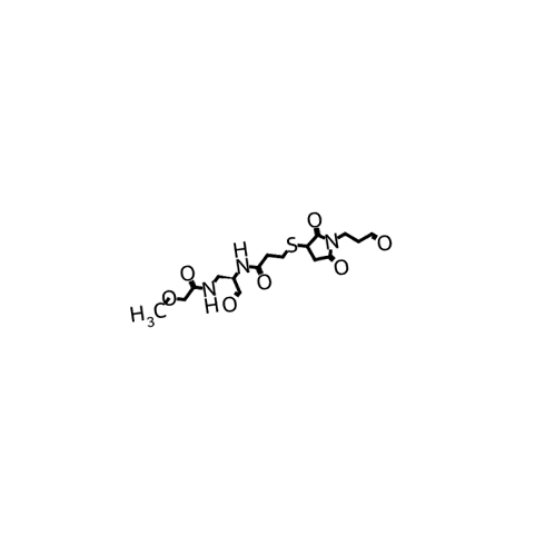 COCC(=O)NC[C@H](C=O)NC(=O)CCSC1CC(=O)N(CCC=O)C1=O